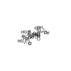 CC(C)C[C@H](NC(=O)[C@H](CC(=O)O)NC(=O)[C@H](CC1CCCCC1)NC(=O)[C@H](CCC(N)=O)NC(=O)/C=C/c1ccc(F)cc1)C(=O)N[C@@H](Cc1ccccc1)C(=O)O